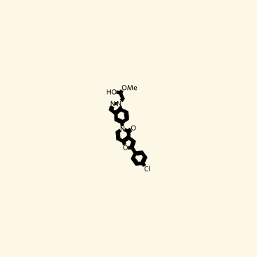 COC(O)Cn1ncc2cc(-n3ccc4oc(-c5ccc(Cl)cc5)cc4c3=O)ccc21